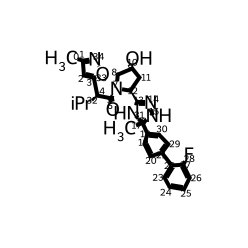 Cc1cc([C@@H](C(=O)N2C[C@H](O)C[C@H]2C2=NNC(C)(c3ccc(-c4ccccc4F)cc3)N2)C(C)C)on1